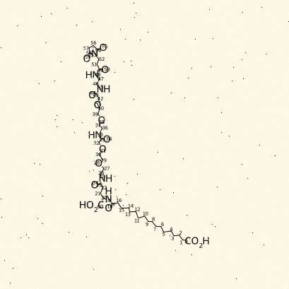 O=C(O)CCCCCCCCCCCCCCCCC(=O)N[C@@H](CCC(=O)NCCOCCOCC(=O)NCCOCCOCC(=O)NCCNC(=O)CCN1C(=O)[CH]CC1=O)C(=O)O